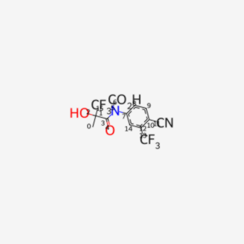 CC(O)(C(=O)N(C(=O)O)c1ccc(C#N)c(C(F)(F)F)c1)C(F)(F)F